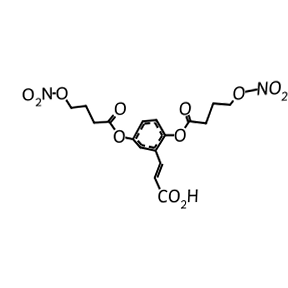 O=C(O)C=Cc1cc(OC(=O)CCCO[N+](=O)[O-])ccc1OC(=O)CCCO[N+](=O)[O-]